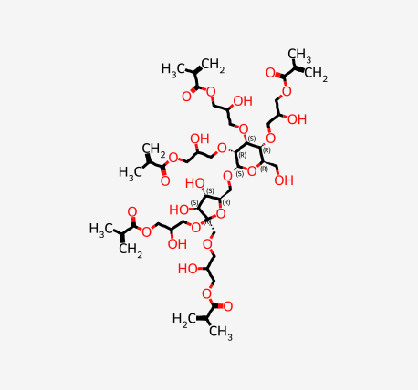 C=C(C)C(=O)OCC(O)COC[C@@]1(OCC(O)COC(=O)C(=C)C)O[C@H](CO[C@H]2O[C@H](CO)[C@@H](OCC(O)COC(=O)C(=C)C)[C@H](OCC(O)COC(=O)C(=C)C)[C@H]2OCC(O)COC(=O)C(=C)C)[C@@H](O)[C@@H]1O